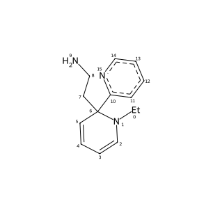 [CH2]CN1C=CC=CC1(CCN)c1ccccn1